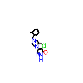 Cc1ccccc1CN1CCN(c2cn[nH]c(=O)c2Cl)[C@H](C)C1